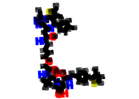 Cc1ccc(C2=NC(CC(=O)NCCCCOCC(=O)N[C@H](C(=O)N3CC(O)C[C@H]3C(=O)NCc3ccc(-c4sccc4C)cc3)C(C)(C)C)c3nnc(C)n3-c3sc(C)c(C)c32)cc1